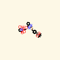 CC1(C)OB(c2ccc(CSc3nc4c(c(OCC(=O)ON5C(=O)CCC5O)n3)CCC4)cc2)OC1(C)C